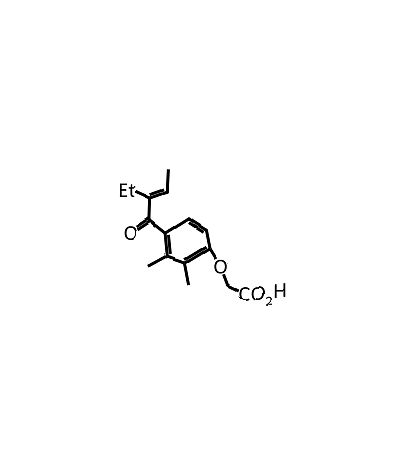 CC=C(CC)C(=O)c1ccc(OCC(=O)O)c(C)c1C